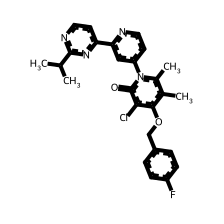 Cc1c(OCc2ccc(F)cc2)c(Cl)c(=O)n(-c2ccnc(-c3ccnc(C(C)C)n3)c2)c1C